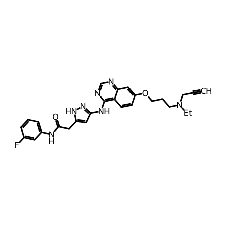 C#CCN(CC)CCCOc1ccc2c(Nc3cc(CC(=O)Nc4cccc(F)c4)[nH]n3)ncnc2c1